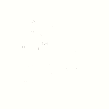 CN(NC(=O)OC(C)(C)C)C(=O)c1cc(=O)n(C2CC2)cc1C(=O)OC(C)(C)C